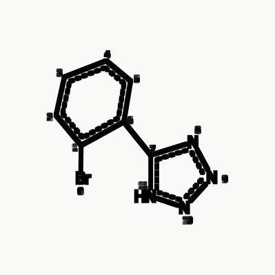 Brc1ccccc1-c1nnn[nH]1